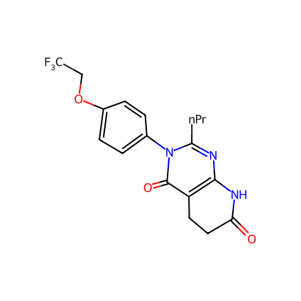 CCCc1nc2c(c(=O)n1-c1ccc(OCC(F)(F)F)cc1)CCC(=O)N2